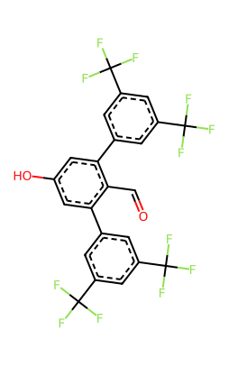 O=Cc1c(-c2cc(C(F)(F)F)cc(C(F)(F)F)c2)cc(O)cc1-c1cc(C(F)(F)F)cc(C(F)(F)F)c1